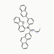 C/C=C\C=C(/c1ccc2c(ccc3ccccc32)c1)N(c1cccc(-c2ccc3ccccc3c2)c1)c1cccc2c1oc1ccccc12